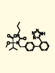 CCCCC(=O)N(Cc1ccc(-c2ccccc2-c2nnn[nH]2)cc1)C(OC)(C(=O)O)C(C)C